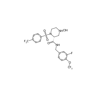 Cl.O=C(NCc1ccc(OC(F)(F)F)c(F)c1)[C@H]1CNCCN1S(=O)(=O)c1ccc(C(F)(F)F)cc1